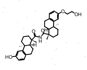 C[C@]1(C(=O)NC(=O)[C@@]2(C)CCC[C@]3(C)c4cc(OCCO)ccc4CC[C@@H]23)CCC[C@]2(C)c3cc(O)ccc3CC[C@@H]12